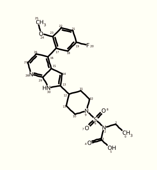 CCN(C(=O)O)S(=O)(=O)N1CCC(c2cc3c(-c4cc(F)ccc4OC)ccnc3[nH]2)CC1